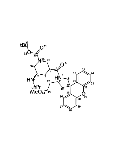 CCCN[C@@H]1C[C@H](C(=O)NCC2(CCCCOC)c3ccccc3Oc3ccccc32)CN(C(=O)OC(C)(C)C)C1